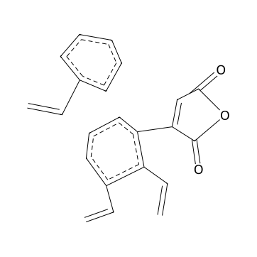 C=Cc1cccc(C2=CC(=O)OC2=O)c1C=C.C=Cc1ccccc1